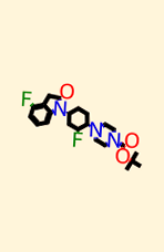 CC(C)(C)OC(=O)N1CCN([C@@H]2CC[C@@H](N3C(=O)Cc4c(F)cccc43)C[C@@H]2F)CC1